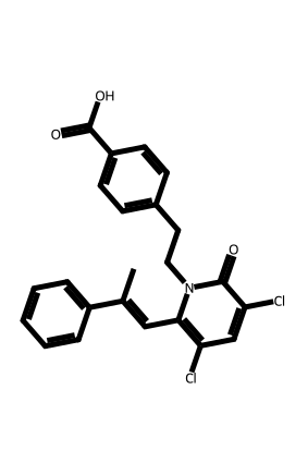 CC(=Cc1c(Cl)cc(Cl)c(=O)n1CCc1ccc(C(=O)O)cc1)c1ccccc1